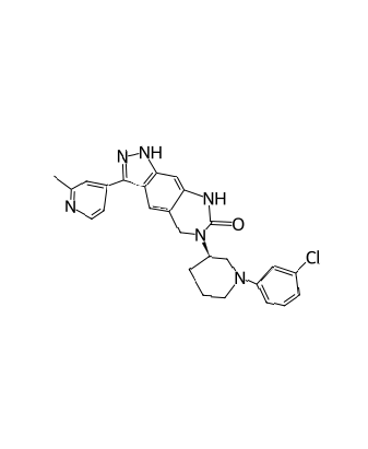 Cc1cc(-c2n[nH]c3cc4c(cc23)CN([C@@H]2CCCN(c3cccc(Cl)c3)C2)C(=O)N4)ccn1